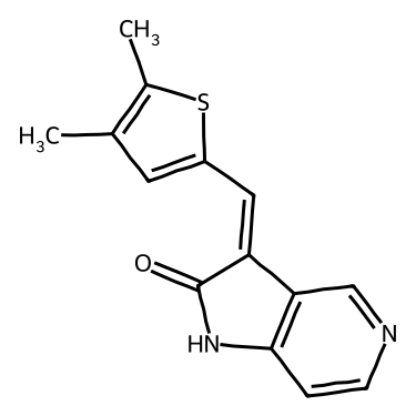 Cc1cc(C=C2C(=O)Nc3ccncc32)sc1C